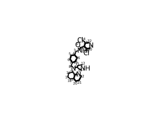 O=C(NCc1ccc(CN(C2CCNC2)C2CCCc3cccnc32)cc1)c1c(Cl)cncc1Cl